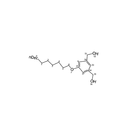 CCCCCCCCCCCCCCCCOc1cc(CO)cc(CO)c1